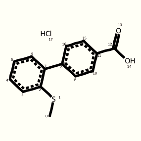 CSc1ccccc1-c1ccc(C(=O)O)cc1.Cl